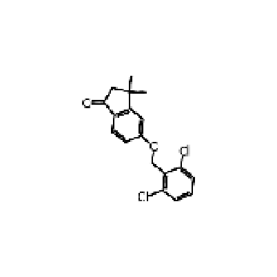 CC1(C)CC(=O)c2ccc(OCc3c(Cl)cccc3Cl)cc21